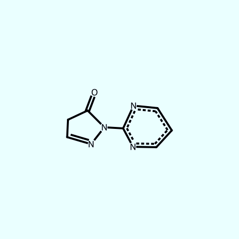 O=C1CC=NN1c1ncccn1